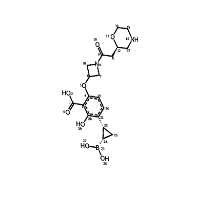 O=C(O)c1c(OC2CN(C(=O)C[C@@H]3CNCCO3)C2)ccc([C@@H]2C[C@@H]2B(O)O)c1O